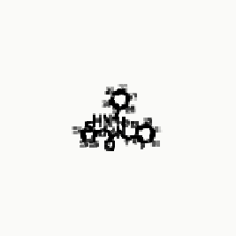 C[C@H](NC(C(=O)NCc1ccccc1)c1cccs1)c1ccccc1